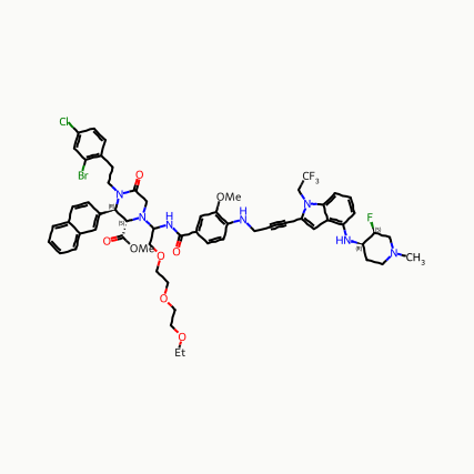 CCOCCOCCOCC(NC(=O)c1ccc(NCC#Cc2cc3c(N[C@@H]4CCN(C)C[C@@H]4F)cccc3n2CC(F)(F)F)c(OC)c1)N1CC(=O)N(CCc2ccc(Cl)cc2Br)[C@H](c2ccc3ccccc3c2)[C@H]1C(=O)OC